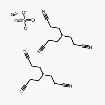 N#CCCP(CCC#N)CCC#N.N#CCCP(CCC#N)CCC#N.O=S(=O)([O-])[O-].[Ni+2]